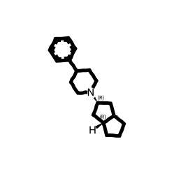 c1ccc(C2CCN([C@@H]3C[C]4CCC[C@@H]4C3)CC2)cc1